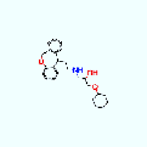 OC(CNCCC1c2ccccc2COc2ccccc21)COC1CCCCC1